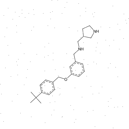 CC(C)(C)c1ccc(COc2cccc(CNCC3CCNC3)c2)cc1